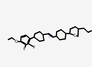 CCCC1CCC(C2CCC(/C=C/C3CCC(c4ccc(OCC)c(F)c4F)CC3)CC2)CC1